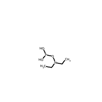 CCN(CC)OP(O)O